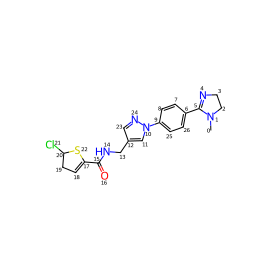 CN1CCN=C1c1ccc(-n2cc(CNC(=O)C3=CCC(Cl)S3)cn2)cc1